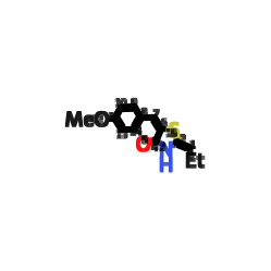 CC/C=c1\[nH]c(=O)/c(=C\c2ccc(OC)cc2)s1